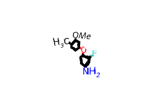 COc1cc(Oc2ccc(N)cc2F)ccc1C